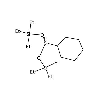 CC[Si](CC)(CC)O[SiH](O[Si](CC)(CC)CC)C1CCCCC1